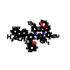 Cc1cc2c3c(c1)N(c1c(C)cc(C(C)(C)C)cc1-c1ccccc1)c1cc4c(cc1B3c1cc(C(C)(C)C)ccc1N2c1cc(-c2ccc3c(c2)C(C)(C)c2ccccc2-3)cc(-c2cc3ccccc3o2)c1)OCCCO4